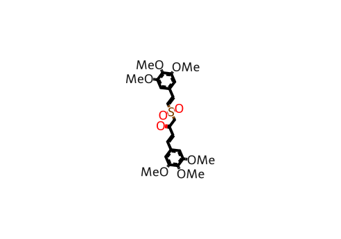 COc1cc(/C=C/C(=O)CS(=O)(=O)/C=C/c2cc(OC)c(OC)c(OC)c2)cc(OC)c1OC